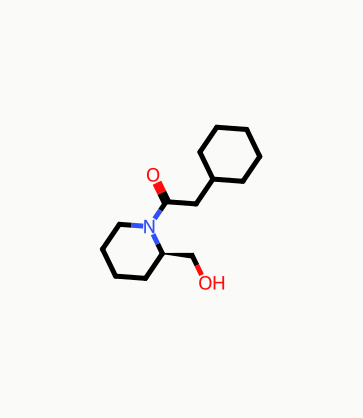 O=C(CC1CCCCC1)N1CCCC[C@@H]1CO